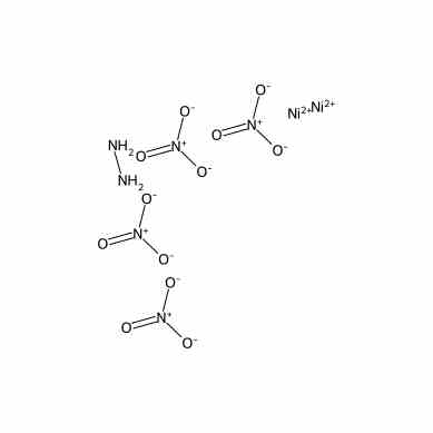 NN.O=[N+]([O-])[O-].O=[N+]([O-])[O-].O=[N+]([O-])[O-].O=[N+]([O-])[O-].[Ni+2].[Ni+2]